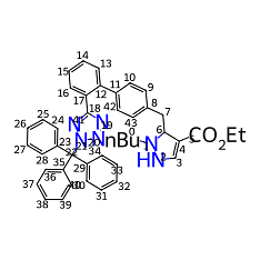 CCCCN1NC=C(C(=O)OCC)C1Cc1ccc(-c2ccccc2-c2nnn(C(c3ccccc3)(c3ccccc3)c3ccccc3)n2)cc1